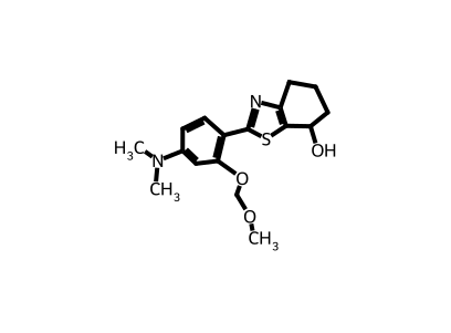 COCOc1cc(N(C)C)ccc1-c1nc2c(s1)C(O)CCC2